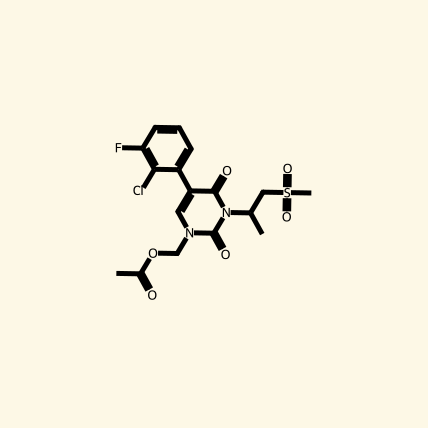 CC(=O)OCn1cc(-c2cccc(F)c2Cl)c(=O)n(C(C)CS(C)(=O)=O)c1=O